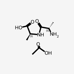 CC(=O)O.C[C@H](N)C(=O)N[C@@H](C)C(=O)O